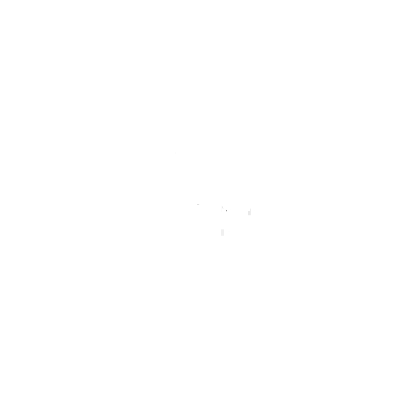 CC(C)[N+](C(C)C)(C(C)C)C(C)C.O=C([O-])c1ccc(C(=O)O)cc1